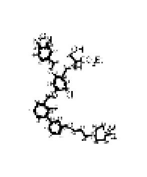 CCOC(=O)C(CO)NCc1cc(Cl)c(OCc2cccc(-c3cccc(OCCCN4CCS(=O)(=O)CC4)c3)c2F)cc1OCc1ccc2nonc2c1